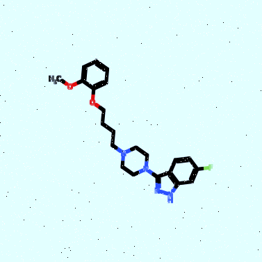 COc1c[c]ccc1OCCCCN1CCN(c2n[nH]c3cc(F)ccc23)CC1